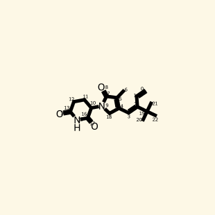 C=C/C(=C\C1=C(C)C(=O)N(C2CCC(=O)NC2=O)C1)C(C)(C)C